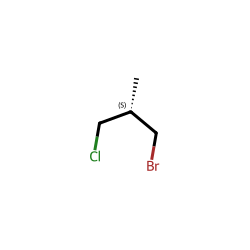 C[C@@H](CCl)CBr